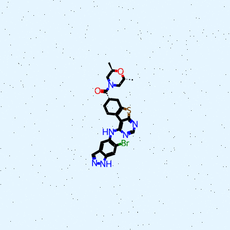 C[C@@H]1CN(C(=O)[C@H]2CCc3c(sc4ncnc(Nc5cc6cn[nH]c6cc5Br)c34)C2)C[C@@H](C)O1